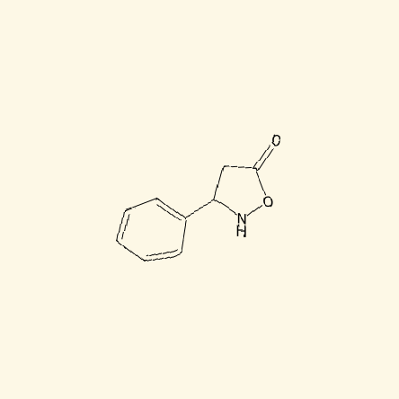 O=C1CC(c2ccccc2)NO1